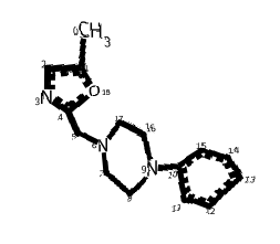 Cc1cnc(CN2CCN(c3ccccc3)CC2)o1